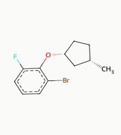 C[C@H]1CC[C@@H](Oc2c(F)cccc2Br)C1